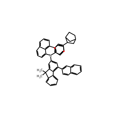 CC1(C)c2ccccc2-c2c(-c3ccc4ccccc4c3)cc(N(c3ccc(C4CC5CCC4C5)cc3)c3cccc4cccc(C5CCCCC5)c34)cc21